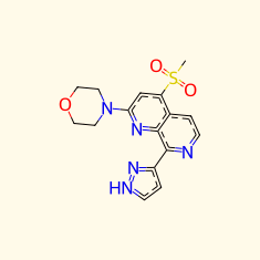 CS(=O)(=O)c1cc(N2CCOCC2)nc2c(-c3cc[nH]n3)nccc12